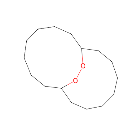 C1CCCC2CCCCCCCC(CCC1)OO2